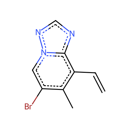 C=Cc1c(C)c(Br)cn2ncnc12